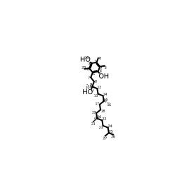 Cc1c(C)c(O)c(CC[C@](C)(O)CCC[C@H](C)CCC[C@H](C)CCCC(C)C)c(C)c1O